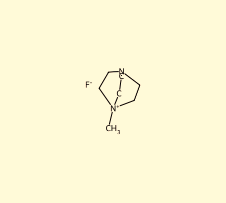 C[N+]12CCN(CC1)CC2.[F-]